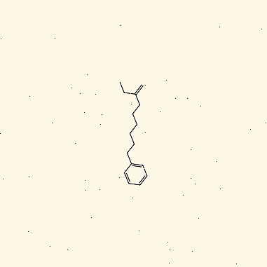 [CH]=C(CC)CCCCCCc1ccccc1